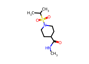 CNC(=O)C1CCN(S(=O)(=O)C(C)C)CC1